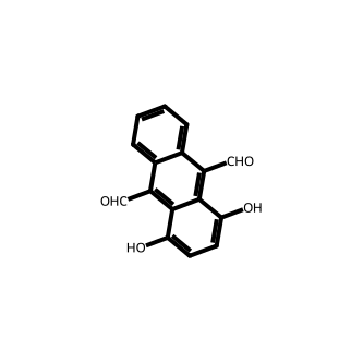 O=Cc1c2ccccc2c(C=O)c2c(O)ccc(O)c12